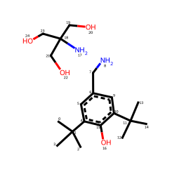 CC(C)(C)c1cc(CN)cc(C(C)(C)C)c1O.NC(CO)(CO)CO